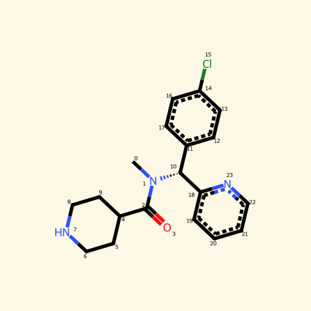 CN(C(=O)C1CCNCC1)[C@H](c1ccc(Cl)cc1)c1ccccn1